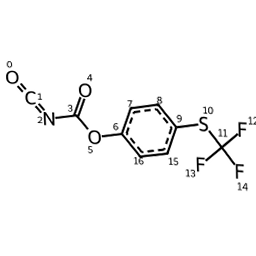 O=C=NC(=O)Oc1ccc(SC(F)(F)F)cc1